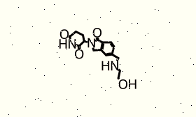 O=C1CCC(N2Cc3cc(CNCCO)ccc3C2=O)C(=O)N1